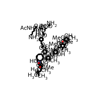 CCN(C(=O)OCc1ccc(NC(=O)[C@H](CCCNC(N)=O)NC(=O)[C@@H](NC(=O)[C@H](CCCCN)NC(C)=O)C(C)C)cc1)[C@H]1CO[C@@H](O[C@H]2[C@H](O[C@H]3C#CC=CC#C[C@]4(O)CC(=O)C(NC(=O)OC)=C3/C4=C\CSSC(C)(C)CC(=O)N(C)C)O[C@H](C)[C@@H](NO[C@H]3C[C@H](O)[C@H](SC(=O)c4c(C)c(I)c(O[C@@H]5O[C@@H](C)[C@H](O)[C@@H](OC)[C@H]5O)c(OC)c4OC)[C@@H](C)O3)[C@@H]2O)C[C@@H]1OC